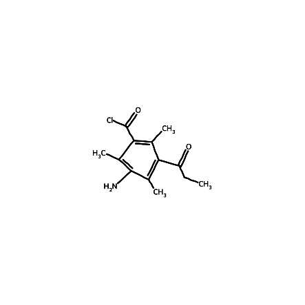 CCC(=O)c1c(C)c(N)c(C)c(C(=O)Cl)c1C